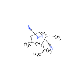 CCC(C#N)(CC(C)C)N=NC(C#N)(CC)CC(C)C